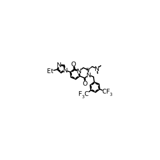 CCc1cn(-c2ccc3n(c2=O)C[C@@H](CN(C)C)N(Cc2cc(C(F)(F)F)cc(C(F)(F)F)c2)C3=O)cn1